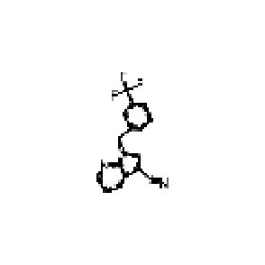 N#Cc1cn(Cc2cccc(C(F)(F)F)c2)c2ncccc12